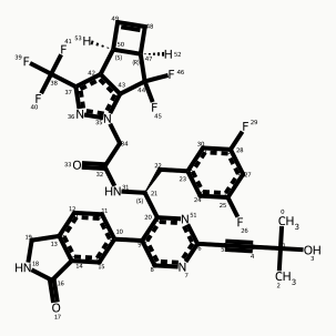 CC(C)(O)C#Cc1ncc(-c2ccc3c(c2)C(=O)NC3)c([C@H](Cc2cc(F)cc(F)c2)NC(=O)Cn2nc(C(F)(F)F)c3c2C(F)(F)[C@@H]2C=C[C@H]32)n1